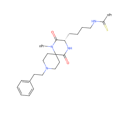 CCCC(=S)NCCCC[C@@H]1NC(=O)C2(CCN(CCc3ccccc3)CC2)N(CCC)C1=O